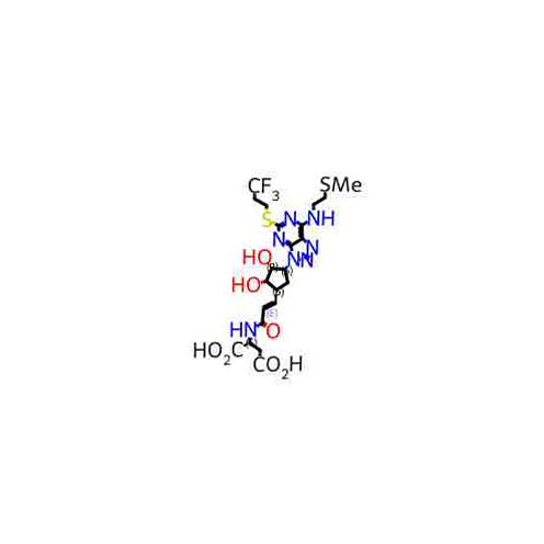 CSCCNc1nc(SCCC(F)(F)F)nc2c1nnn2[C@H]1C[C@@H](/C=C/C(=O)N[C@@H](CC(=O)O)C(=O)O)C(O)[C@@H]1O